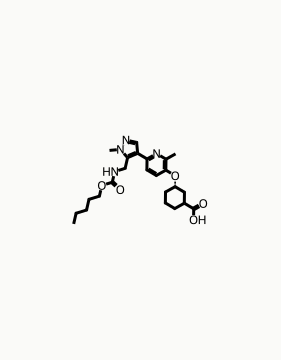 CCCCCOC(=O)NCc1c(-c2ccc(O[C@H]3CCCC(C(=O)O)C3)c(C)n2)cnn1C